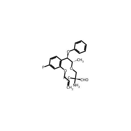 C=CCOc1cc(F)ccc1[C@@H](Oc1ccccc1)[C@H](C)OC[C@@](C)(N)C=O